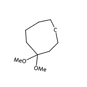 COC1(OC)CCCCCCC1